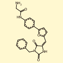 NCC(=O)Nc1ccc(-c2ccc(C=C3NC(=O)N(Cc4ccccc4)C3=O)o2)cc1